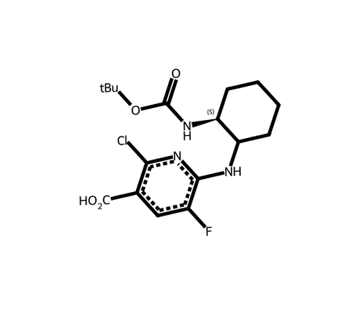 CC(C)(C)OC(=O)N[C@H]1CCCCC1Nc1nc(Cl)c(C(=O)O)cc1F